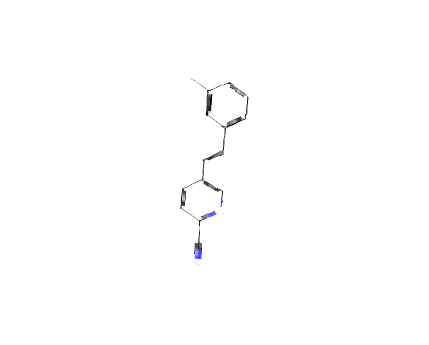 N#Cc1ccc(C=Cc2cccc(Cl)c2)cn1